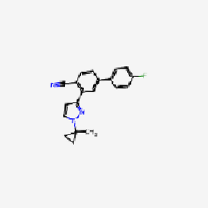 CC1(n2ccc(-c3cc(-c4ccc(F)cc4)ccc3C#N)n2)CC1